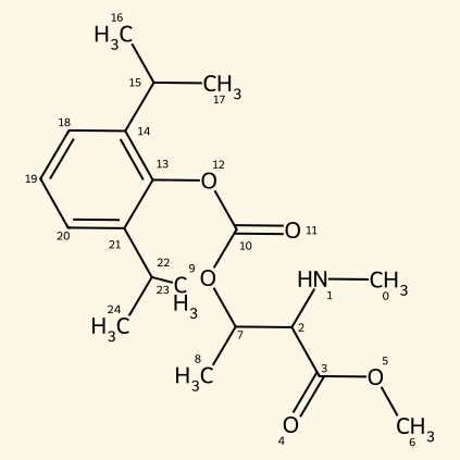 CNC(C(=O)OC)C(C)OC(=O)Oc1c(C(C)C)cccc1C(C)C